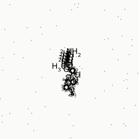 [2H]C([2H])(N)C([2H])([2H])C([2H])([2H])C([2H])([2H])N(C)S(=O)(=O)c1ccc(Cl)c(COC2(c3cnccc3-c3ccccc3OC3CC3)CC2)c1